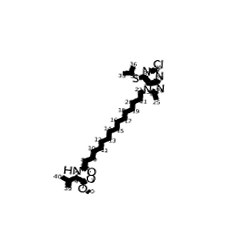 COC(=O)[C@@H](NC(=O)CCCCCCCCCCCCCCCn1c(C)nc2nc(Cl)nc(SC(C)C)c21)C(C)C